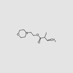 C=CC(I)C(=O)OCCN1CCOCC1